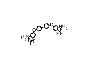 Nc1cc(Oc2ccc(-c3ccc(Oc4ccc(C(F)(F)F)c(N)c4)cc3)cc2)ccc1C(F)(F)F